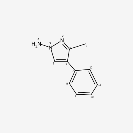 Cc1nn(N)cc1-c1ccccc1